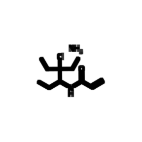 C=CC(=O)NC(CC)C(Cl)(CC)CC.N